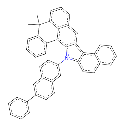 CC1(C)c2ccccc2-c2c3c1cccc3cc1c3c4ccccc4ccc3n(-c3ccc4cc(-c5ccccc5)ccc4c3)c21